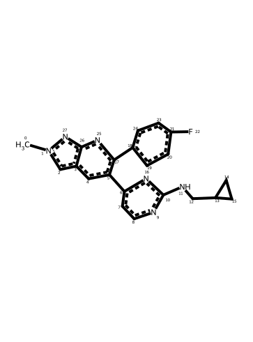 Cn1cc2cc(-c3ccnc(NCC4CC4)n3)c(-c3ccc(F)cc3)nc2n1